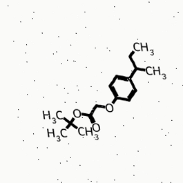 CCC(C)c1ccc(OCC(=O)OC(C)(C)C)cc1